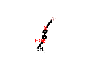 CCCCCC(O)Oc1ccc(-c2ccc(OCCCCCCBr)cc2)cc1